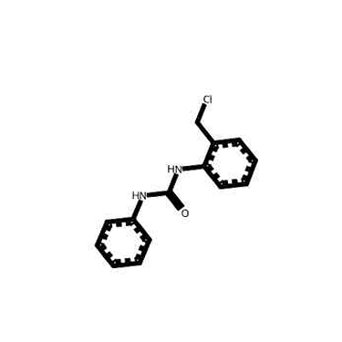 O=C(Nc1ccccc1)Nc1ccccc1CCl